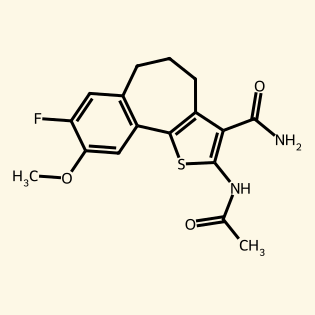 COc1cc2c(cc1F)CCCc1c-2sc(NC(C)=O)c1C(N)=O